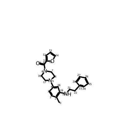 Cc1ccc(N2CCN(C(=O)c3ccco3)CC2)cc1NCCc1ccccc1